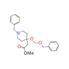 COC(=O)CC1(OCOCc2ccccc2)CCN(Cc2ccccc2)CC1